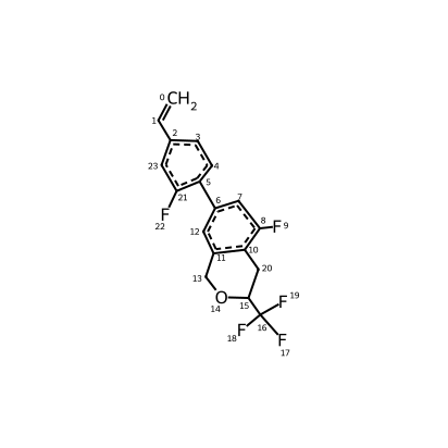 C=Cc1ccc(-c2cc(F)c3c(c2)COC(C(F)(F)F)C3)c(F)c1